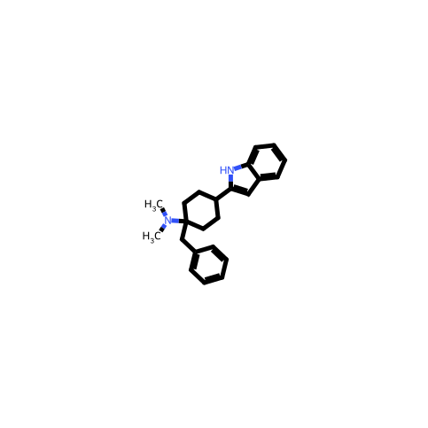 CN(C)C1(Cc2ccccc2)CCC(c2[c]c3ccccc3[nH]2)CC1